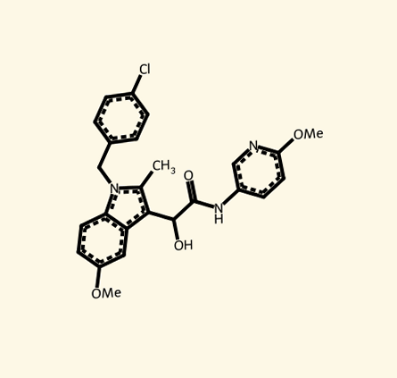 COc1ccc2c(c1)c(C(O)C(=O)Nc1ccc(OC)nc1)c(C)n2Cc1ccc(Cl)cc1